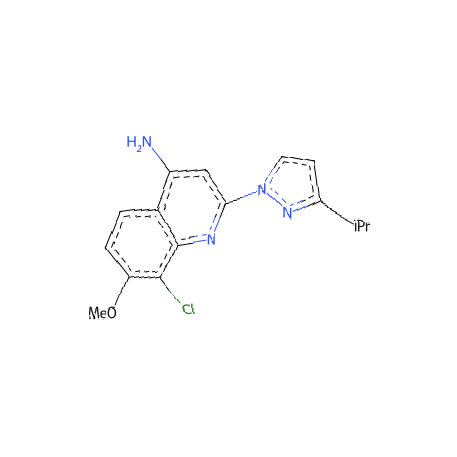 COc1ccc2c(N)cc(-n3ccc(C(C)C)n3)nc2c1Cl